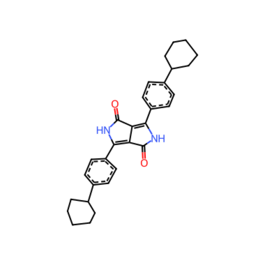 O=C1NC(c2ccc(C3CCCCC3)cc2)=C2C(=O)NC(c3ccc(C4CCCCC4)cc3)=C12